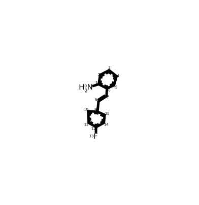 Nc1ccccc1C=Cc1ccc(F)cc1